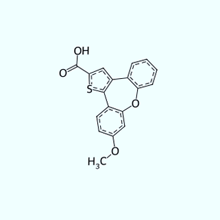 COc1ccc2c(c1)Oc1ccccc1-c1cc(C(=O)O)sc1-2